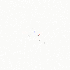 CC(C)(C)OC(=O)N1C[C@@](C)(O)CCC1(C)C